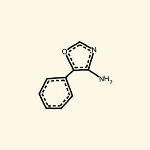 Nc1ncoc1-c1ccccc1